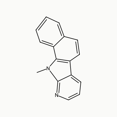 Cn1c2ncccc2c2ccc3ccccc3c21